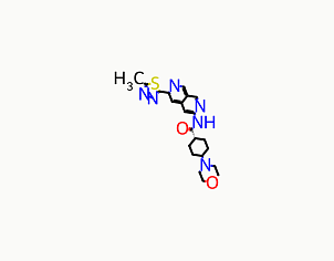 Cc1nnc(-c2cc3cc(NC(=O)[C@H]4CC[C@H](N5CCOCC5)CC4)ncc3cn2)s1